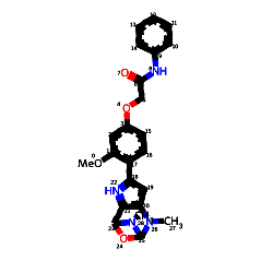 COc1cc(OCC(=O)Nc2ccccc2)ccc1-c1cc2c([nH]1)C1OC(N2C)N1C